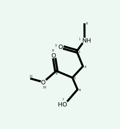 CNC(=O)CC(CO)C(=O)OC